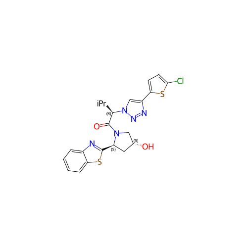 CC(C)[C@H](C(=O)N1C[C@H](O)C[C@H]1c1nc2ccccc2s1)n1cc(-c2ccc(Cl)s2)nn1